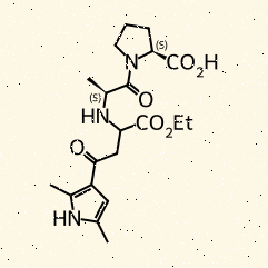 CCOC(=O)C(CC(=O)c1cc(C)[nH]c1C)N[C@@H](C)C(=O)N1CCC[C@H]1C(=O)O